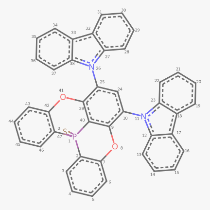 S=P12c3ccccc3Oc3c(-n4c5ccccc5c5ccccc54)cc(-n4c5ccccc5c5ccccc54)c(c31)Oc1ccccc12